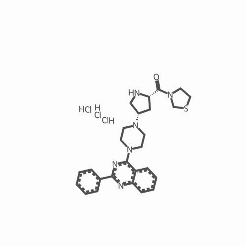 Cl.Cl.Cl.O=C([C@@H]1C[C@H](N2CCN(c3nc(-c4ccccc4)nc4ccccc34)CC2)CN1)N1CCSC1